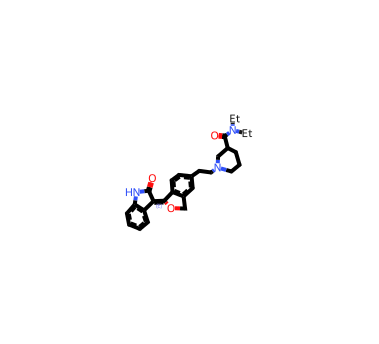 CCN(CC)C(=O)C1CCCN(CCc2ccc3c(c2)CO/C3=C2/C(=O)Nc3ccccc32)C1